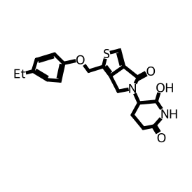 CCc1ccc(OCc2scc3c2CN(C2CCC(=O)NC2O)C3=O)cc1